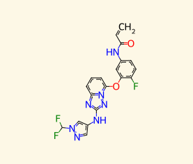 C=CC(=O)Nc1ccc(F)c(Oc2cccc3nc(Nc4cnn(C(F)F)c4)nn23)c1